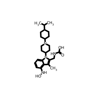 Cc1c(CNC(=O)O)n(C2CCN(C3CCC(C(C)C)CC3)CC2)c2cccc(NO)c12